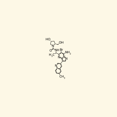 Cc1ccc2ncc(-c3cnn4c(N)c(Br)c(C(C)NC(=O)N5C[C@H](O)C[C@H]5CO)nc34)cc2c1